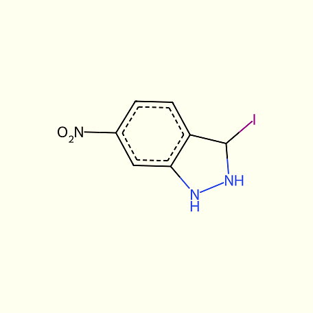 O=[N+]([O-])c1ccc2c(c1)NNC2I